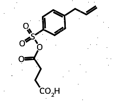 C=CCc1ccc(S(=O)(=O)OC(=O)CCC(=O)O)cc1